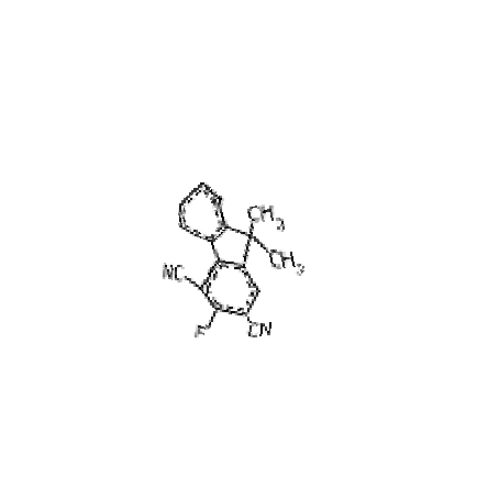 CC1(C)c2ccccc2-c2c1cc(C#N)c(F)c2C#N